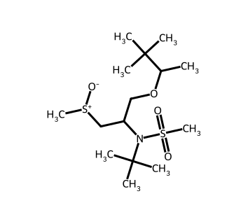 CC(OCC(C[S+](C)[O-])N(C(C)(C)C)S(C)(=O)=O)C(C)(C)C